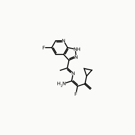 C=C(/C(F)=C(N)\N=C(/C)c1n[nH]c2ncc(F)cc12)C1CC1